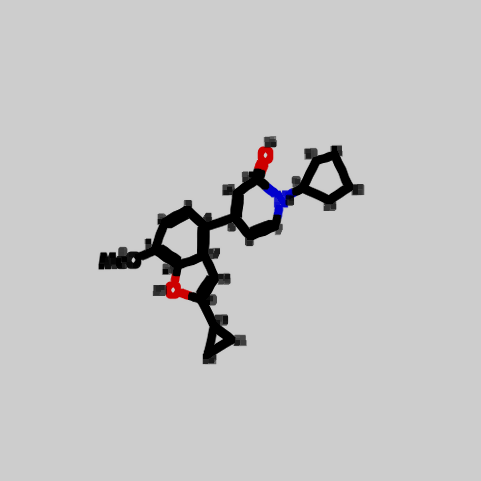 COc1ccc(-c2ccn(C3CCCC3)c(=O)c2)c2cc(C3CC3)oc12